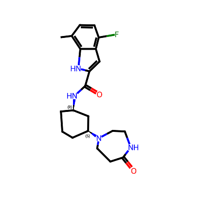 Cc1ccc(F)c2cc(C(=O)N[C@@H]3CCC[C@H](N4CCNC(=O)CC4)C3)[nH]c12